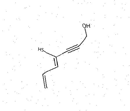 C=CC=C(S)C#CCO